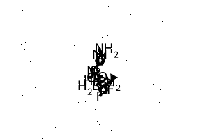 BC(B)(NC(=O)c1cc(-c2ccn3nc(N)nc3c2)cnc1OC)c1cc(F)cc(F)c1OCC1CC1